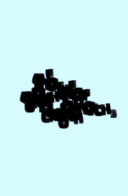 CN1CCC(C(=O)Nc2cc(-c3ccnn3-c3ccc(F)cc3F)cc3c2NC(=O)C32CCC(C3CC(Nc4cc(-n5cccc5-c5ccc(F)cc5F)cc5c4NC(=O)C54CCCC4)CCN3C)C2)CC1